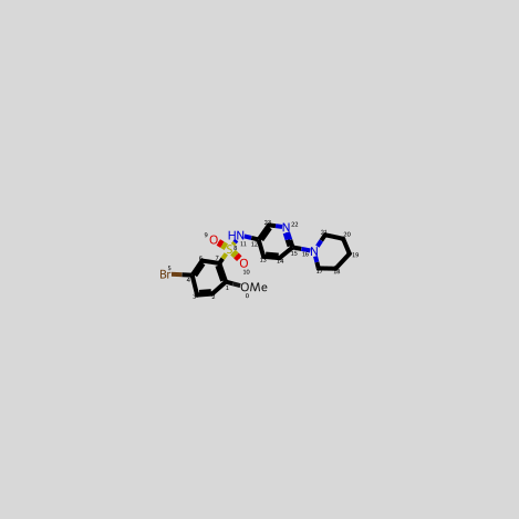 COc1ccc(Br)cc1S(=O)(=O)Nc1ccc(N2CCCCC2)nc1